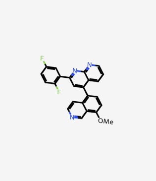 COc1ccc(-c2cc(-c3cc(F)ccc3F)nc3ncccc23)c2ccncc12